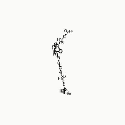 CC(C)OP(O)(=S)OCCCCCCNC(=O)CCOCCOCCOCCOCCn1nnc2c1-c1ccccc1CN(C(=O)CCC(=O)NCCOCCC(=O)C(C)C)c1ccccc1-2